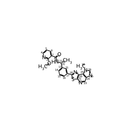 COc1ncccc1C(=O)N[C@@H](C)c1cccc(-c2nc3c(ncc4ncn(C)c43)s2)c1